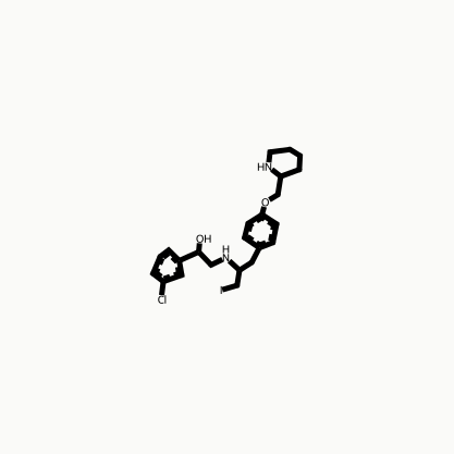 OC(CNC(CI)Cc1ccc(OCC2CCCCN2)cc1)c1cccc(Cl)c1